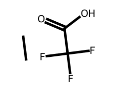 CC.O=C(O)C(F)(F)F